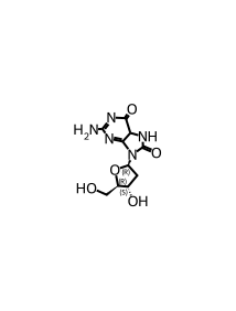 NC1=NC(=O)C2NC(=O)N([C@H]3C[C@H](O)[C@@H](CO)O3)C2=N1